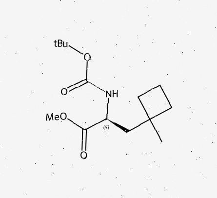 COC(=O)[C@H](CC1(C)CCC1)NC(=O)OC(C)(C)C